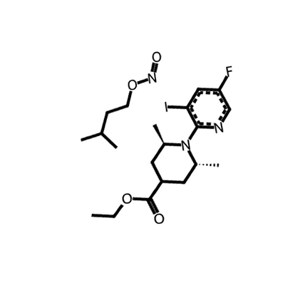 CC(C)CCON=O.CCOC(=O)C1C[C@@H](C)N(c2ncc(F)cc2I)[C@H](C)C1